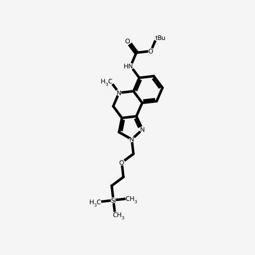 CN1Cc2cn(COCC[Si](C)(C)C)nc2-c2cccc(NC(=O)OC(C)(C)C)c21